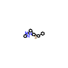 c1ccc(-c2ccc3sc4cc5c(cc4c3c2)c2cccc3c4nc6ccccc6nc4n5c23)cc1